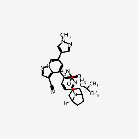 Cn1cc(-c2cc(-c3ccc(N4[C@H]5CC[C@]4(C(C)(C)C)C[C@@H](OC(N)=O)C5)nc3)c3c(C#N)cnn3c2)cn1